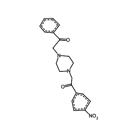 O=C(CN1CCN(CC(=O)c2ccc([N+](=O)[O-])cc2)CC1)c1ccccc1